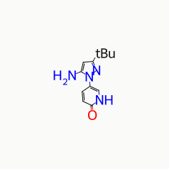 CC(C)(C)c1cc(N)n(-c2ccc(=O)[nH]c2)n1